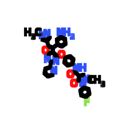 Cn1cc(-c2oc3nc(-c4ccccn4)nc(Oc4ccc(NC(=O)c5cn(C)n(-c6ccc(F)cc6)c5=O)cc4)c3c2-c2cccc(N)c2)cn1